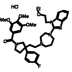 CCOCCn1c(N2CCCN(CCC3(c4ccc(F)cc4)CCN(C(=O)c4cc(OC)c(OC)c(OC)c4)C3)CC2)nc2ccccc21.Cl